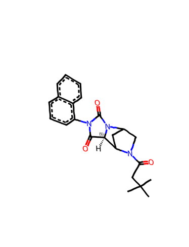 CC(C)(C)CC(=O)N1CC2CC1[C@H]1C(=O)N(c3cccc4ccccc34)C(=O)N21